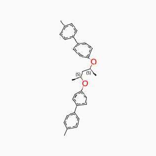 Cc1ccc(-c2ccc(O[C@@H](C)C[C@H](C)Oc3ccc(-c4ccc(C)cc4)cc3)cc2)cc1